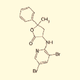 CC1(c2ccccc2)CC(Nc2ncc(Br)cc2Br)C(=O)O1